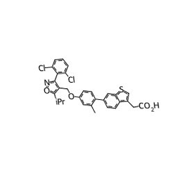 Cc1cc(OCc2c(-c3c(Cl)cccc3Cl)noc2C(C)C)ccc1-c1ccc2c(CC(=O)O)csc2c1